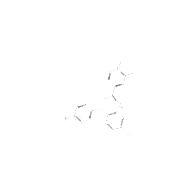 Cc1cc(Cl)ccc1[C@H](C/C(=N\O)c1cc[n+]([O-])c(C)c1)c1ccc(Br)cc1